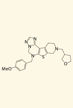 COc1ccc(CN2Cn3ncnc3-c3c2sc2c3CCN(CC3CCOC3)C2)cc1